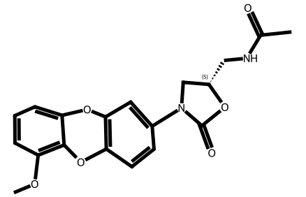 COc1cccc2c1Oc1ccc(N3C[C@H](CNC(C)=O)OC3=O)cc1O2